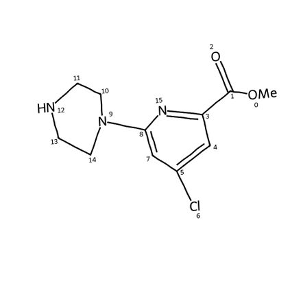 COC(=O)c1cc(Cl)cc(N2CCNCC2)n1